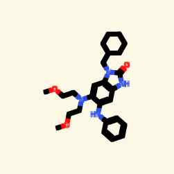 COCCN(CCOC)c1cc2c(cc1Nc1ccccc1)[nH]c(=O)n2CC1CCCCC1